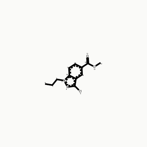 CCCn1nc(Cl)c2cc(C(=O)OC)ccc21